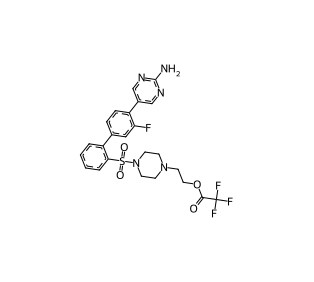 Nc1ncc(-c2ccc(-c3ccccc3S(=O)(=O)N3CCN(CCOC(=O)C(F)(F)F)CC3)cc2F)cn1